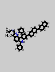 C=C/C=C\c1c(C)c2ccc3c(-c4ccccc4)nc4cc(-c5ccc6cc(-c7ccc8ccccc8c7)ccc6c5)ccc4c3c2n1-c1ccccc1